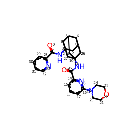 O=C(NC12CC3CC(C1)CC(NC(=O)c1cccc(N4CCOCC4)n1)(C3)C2)c1ccccn1